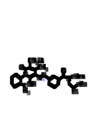 CCCCCCN(CC(CC)CCCC)C(=O)c1cccc(/N=N/c2c(C)c(C(=O)OCC)c(=O)n(-c3ccccc3C)c2O)c1